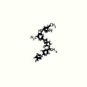 Cc1cc(Nc2cc(C)[nH]n2)nc(N2CC3(CCN(C(C)c4ccc(-n5cc(F)cn5)nc4)C3=O)C2)n1